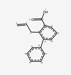 C=CCc1c(C(=O)O)cccc1-c1ccccc1